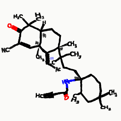 C#CC(=O)N[C@]1(CCC(C)(C)[C@]2(C)CC[C@H]3C(C)(C)C(=O)C(C#N)=C[C@]3(C)/C2=C/C(C)=O)CCC(C)(C)CC1C